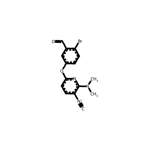 [C-]#[N+]c1ccc(Oc2ccc(Br)c(C=O)c2)nc1N(C)C